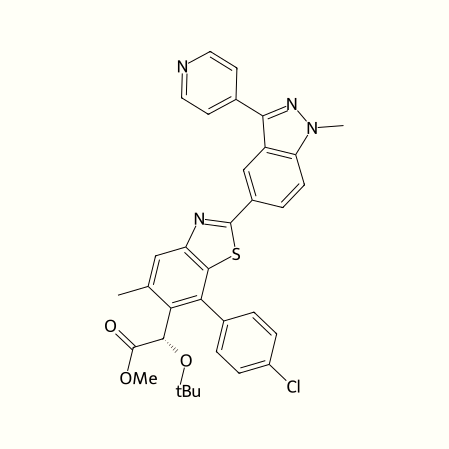 COC(=O)[C@@H](OC(C)(C)C)c1c(C)cc2nc(-c3ccc4c(c3)c(-c3ccncc3)nn4C)sc2c1-c1ccc(Cl)cc1